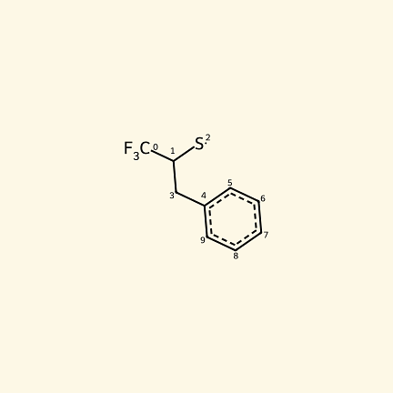 FC(F)(F)C([S])Cc1ccccc1